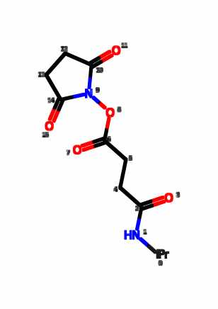 CC(C)NC(=O)CCC(=O)ON1C(=O)CCC1=O